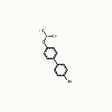 CC(C)(C)c1ccc(-c2ccc(OB(O)O)cc2)cc1